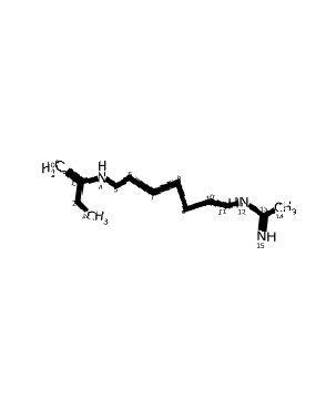 C=C(CC)NCCCCCCCNC(C)=N